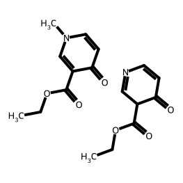 CCOC(=O)C1C=NC=CC1=O.CCOC(=O)c1cn(C)ccc1=O